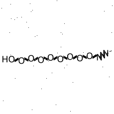 [N-]=[N+]=NCCOCCOCCOCCOCCOCCOCCOCCOCCO